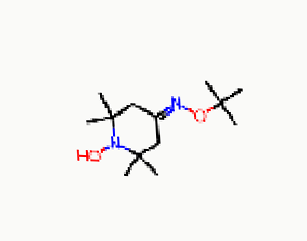 CC(C)(C)ON=C1CC(C)(C)N(O)C(C)(C)C1